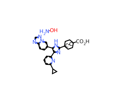 NO.O=C(O)C12CCC(c3nc(-c4cccc(C5CC5)n4)c(-c4ccc5ncnn5c4)[nH]3)(CC1)CC2